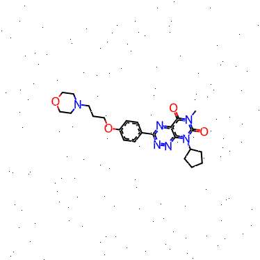 Cn1c(=O)c2nc(-c3ccc(OCCCN4CCOCC4)cc3)nnc2n(C2CCCC2)c1=O